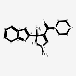 CN1C=C(C(=O)N2CCOCC2)C(C)(C2=CC3=CC=CCC3=N2)N1